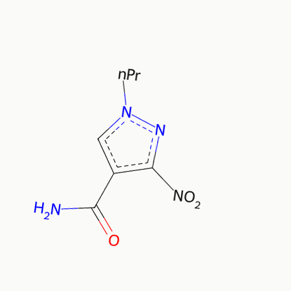 CCCn1cc(C(N)=O)c([N+](=O)[O-])n1